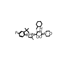 C[C@@H](CN1CC(C)(C)c2cc(F)ccc21)NC(=O)[C@H](CC1CCCCC1)NC(=O)N1CCOCC1